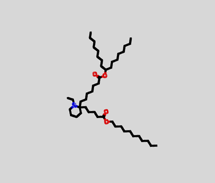 CCCCCCCCCCCOC(=O)CCCCC1(CCCCCCC(=O)OC(CCCCCCCC)CCCCCCCC)CCCCN1CC